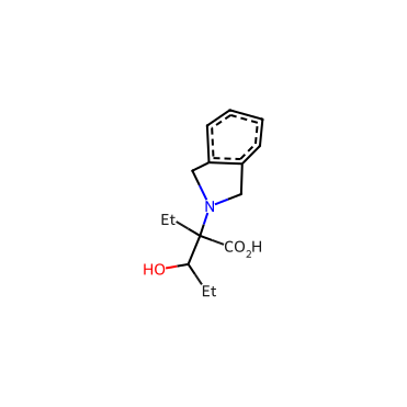 CCC(O)C(CC)(C(=O)O)N1Cc2ccccc2C1